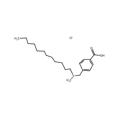 CCCCCCCCCCCC[S+](C)Cc1ccc(C(=O)O)cc1.[Cl-]